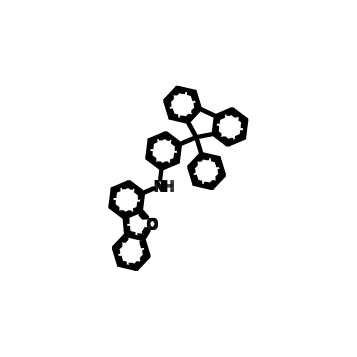 c1ccc(C2(c3cccc(Nc4cccc5c4oc4ccccc45)c3)c3ccccc3-c3ccccc32)cc1